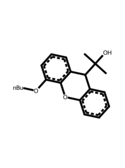 CCCCOc1cccc2c1Oc1ccccc1C2C(C)(C)O